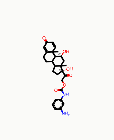 CC12C=CC(=O)C=C1CCC1C2[C@@H](O)CC2(C)C1CC[C@]2(O)C(=O)COC(=O)Nc1cccc(N)c1